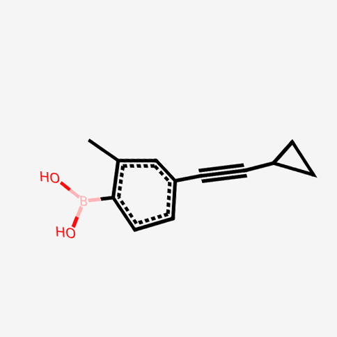 Cc1cc(C#CC2CC2)ccc1B(O)O